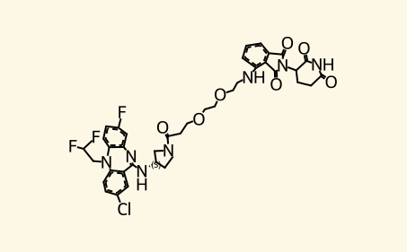 O=C1CCC(N2C(=O)c3cccc(NCCOCCOCCC(=O)N4CC[C@H](NC5=Nc6cc(F)ccc6N(CC(F)F)c6ccc(Cl)cc65)C4)c3C2=O)C(=O)N1